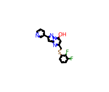 Oc1cc(CSc2cccc(F)c2F)nc2cc(-c3cccnc3)nn12